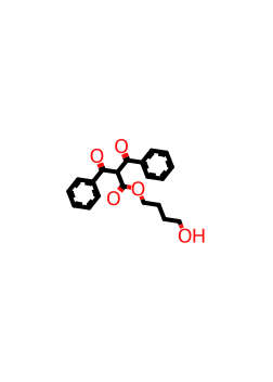 O=C(OCCCCO)C(C(=O)c1ccccc1)C(=O)c1ccccc1